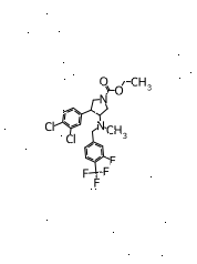 CCOC(=O)N1CC(c2ccc(Cl)c(Cl)c2)C(N(C)Cc2ccc(C(F)(F)F)c(F)c2)C1